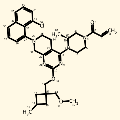 C=CC(=O)N1CCN(c2nc(OCC3(COC)CC(C)C3)nc3c2CCN(c2cccc4cccc(Cl)c24)C3)[C@@H](C)C1